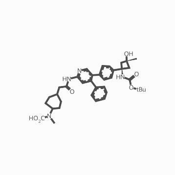 CN(C(=O)O)C1CCC(CC(=O)Nc2cc(-c3ccccc3)c(-c3ccc([C@]4(NC(=O)OC(C)(C)C)C[C@](C)(O)C4)cc3)cn2)CC1